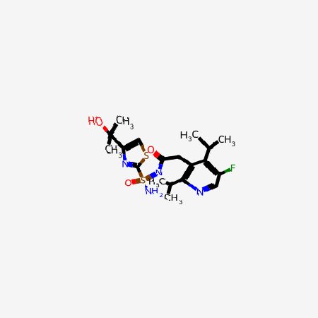 CC(C)c1ncc(F)c(C(C)C)c1CC(=O)N=[S@@](N)(=O)c1nc(C(C)(C)O)cs1